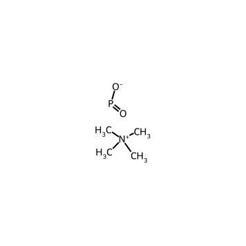 C[N+](C)(C)C.O=P[O-]